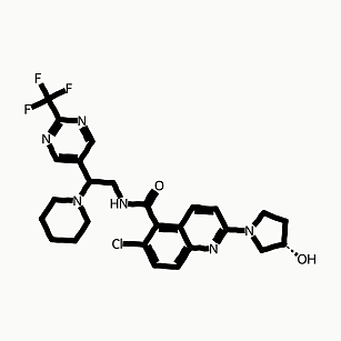 O=C(NCC(c1cnc(C(F)(F)F)nc1)N1CCCCC1)c1c(Cl)ccc2nc(N3CC[C@H](O)C3)ccc12